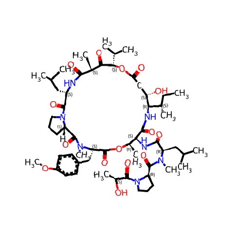 CC[C@H](C)[C@H]1NC(=O)[C@@H](NC(=O)[C@@H](CC(C)C)N(C)C(=O)[C@H]2CCCN2C(=O)[C@H](C)O)[C@@H](C)OC(=O)[C@H](Cc2ccc(OC)cc2)N(C)C(=O)[C@@H]2CCCN2C(=O)[C@H](CC(C)C)NC(=O)[C@@H](C)C(=O)[C@H](C(C)C)OC(=O)C[C@@H]1O